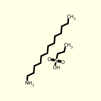 CCCCCCCCCCCCCN.CCCS(=O)(=O)O